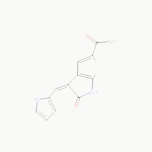 CNC(=O)c1cc2c(s1)NC(=O)/C2=C\c1ccc[nH]1